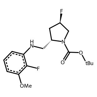 COc1cccc(NC[C@@H]2C[C@@H](F)CN2C(=O)OC(C)(C)C)c1F